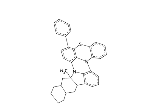 CC12CC3CCCCC3CC1c1cccc3c1N2c1ccc(-c2ccccc2)c2c1B3c1ccccc1S2